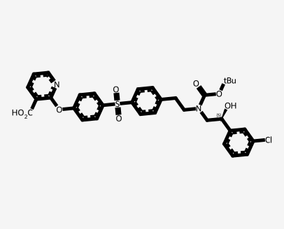 CC(C)(C)OC(=O)N(CCc1ccc(S(=O)(=O)c2ccc(Oc3ncccc3C(=O)O)cc2)cc1)C[C@@H](O)c1cccc(Cl)c1